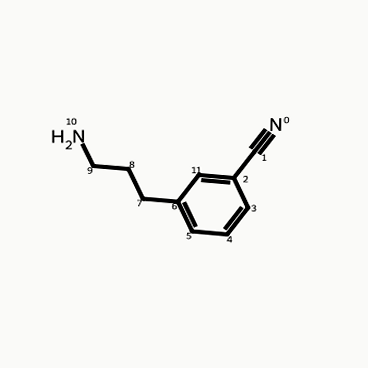 N#Cc1cccc(CCCN)c1